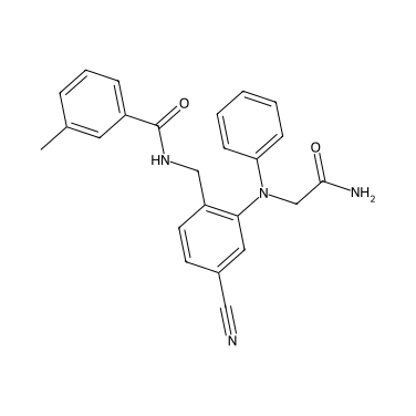 Cc1cccc(C(=O)NCc2ccc(C#N)cc2N(CC(N)=O)c2ccccc2)c1